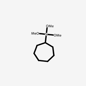 CO[Si](OC)(OC)C1CCCCCC1